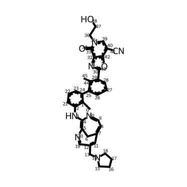 Cc1c(NC2=C3CC(=CC=N2)C=C(CN2CCCC2)C=N3)cccc1-c1cccc(-c2nc3c(=O)n(CCO)cc(C#N)c3o2)c1C